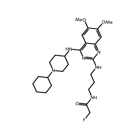 COc1cc2nc(NCCCNC(=O)CF)nc(NC3CCN(C4CCCCC4)CC3)c2cc1OC